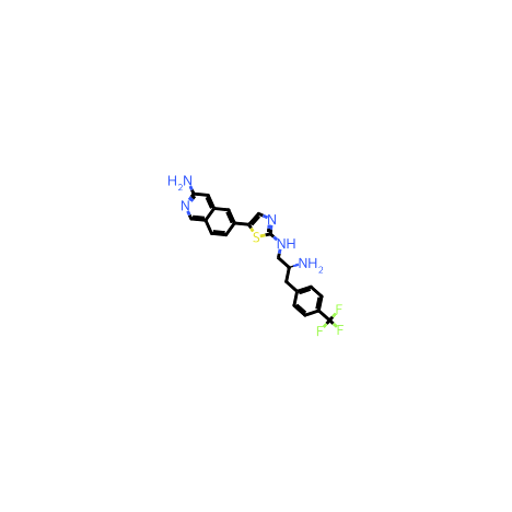 Nc1cc2cc(-c3cnc(NC[C@@H](N)Cc4ccc(C(F)(F)F)cc4)s3)ccc2cn1